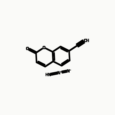 C#Cc1ccc2ccc(=O)oc2c1.[N-]=[N+]=N